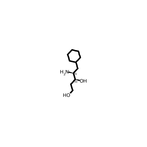 N[C@@H](CC1CCCCC1)[C@@H](O)CCO